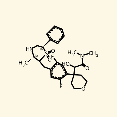 C[C@@H]1NC[C@@H](c2ccccc2)S(=O)(=O)C1Cc1cc(F)c(C2(C(O)C(=O)N(C)C)CCOCC2)cc1F